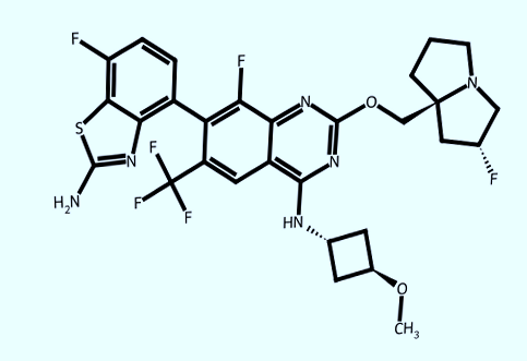 CO[C@H]1C[C@H](Nc2nc(OC[C@@]34CCCN3C[C@H](F)C4)nc3c(F)c(-c4ccc(F)c5sc(N)nc45)c(C(F)(F)F)cc23)C1